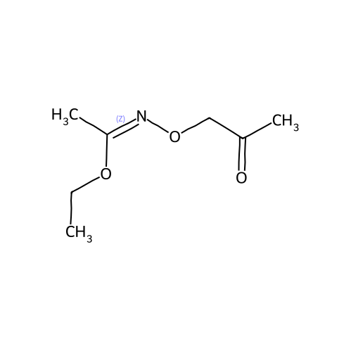 CCO/C(C)=N\OCC(C)=O